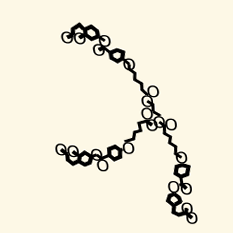 O=C(CCCCCOc1ccc(C(=O)Oc2ccc3ccc(=O)oc3c2)cc1)OCC(COC(=O)CCCCCOc1ccc(C(=O)Oc2ccc3ccc(=O)oc3c2)cc1)OC(=O)CCCCCOc1ccc(C(=O)Oc2ccc3ccc(=O)oc3c2)cc1